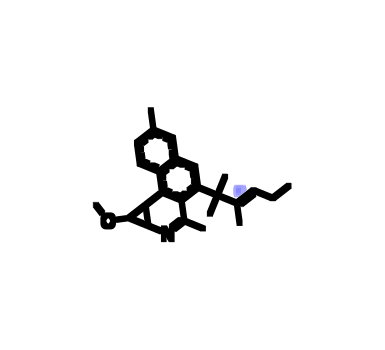 CC/C=C(\C)C(C)(C)c1cc2cc(C)ccc2c2c1C(C)=NC1C(OC)C21